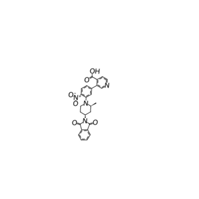 C[C@H]1C[C@@H](N2C(=O)c3ccccc3C2=O)CCN1c1cc(-c2cnccc2C(=O)O)ccc1[N+](=O)[O-]